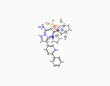 CS(=O)(=O)c1c([C@H]2C[C@H]3CC[C@@H](C2)N3C(=O)[C@@H]2CCCN2)nc2c(-c3ccc(-c4ccccc4)nc3)cnn2c1N